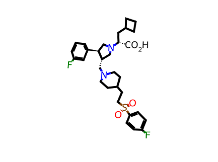 O=C(O)[C@@H](CC1CCC1)N1C[C@H](CN2CCC(CCS(=O)(=O)c3ccc(F)cc3)CC2)[C@@H](c2cccc(F)c2)C1